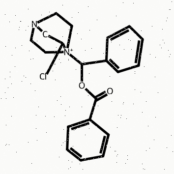 O=C(OC(c1ccccc1)[N+]12CCN(CC1)CC2Cl)c1ccccc1